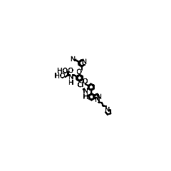 CNc1c(COc2cc(OCc3cncc(C#N)c3)c(CNC(CO)C(=O)O)cc2Cl)cccc1-c1cccc2c1cnn2CCCCN1CCCC1